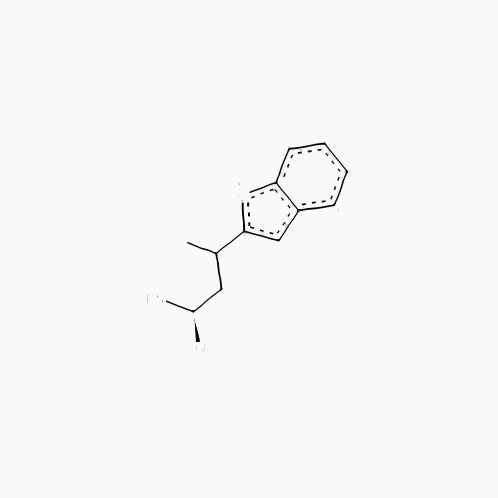 CCC[C@@H](N)CC(CC)c1cc2ccccc2o1